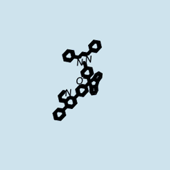 c1ccc(-c2cc(-c3ccccc3)nc(-c3ccc4c(c3)Oc3cc(-c5ccc(-c6ccccc6)c6cccnc56)ccc3C43c4ccccc4-c4ccccc43)n2)cc1